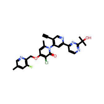 C#Cc1cnc(-c2ccnc(C(C)(C)O)n2)cc1-n1c(C)cc(OCc2ncc(C)cc2F)c(Cl)c1=O